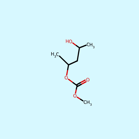 COC(=O)OC(C)CC(C)O